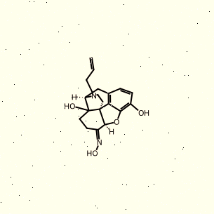 C=CCN1CC[C@]23c4c5ccc(O)c4O[C@H]2C(=NO)CCC3(O)[C@H]1C5